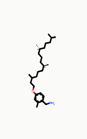 Cc1cc(OCCC(C)CCC[C@H](C)CCC[C@H](C)CCCC(C)C)ccc1CN